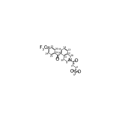 CS(=O)(=O)CCC(=O)N1CCc2c(cccc2C(=O)c2ccc(C(F)(F)F)cc2)C1